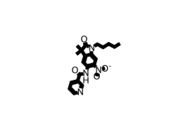 CCCCCN1C(=O)C(C)(C)c2cc(NC(=O)c3cccnc3)c([N+](=O)[O-])cc21